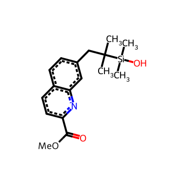 COC(=O)c1ccc2ccc(CC(C)(C)[Si](C)(C)O)cc2n1